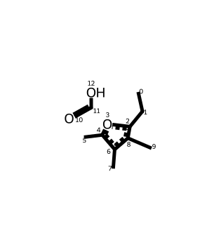 CCc1oc(C)c(C)c1C.O=CO